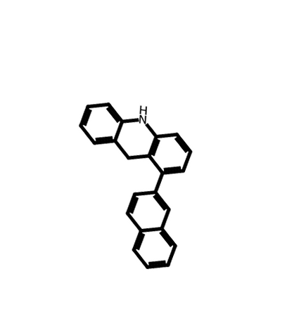 c1ccc2c(c1)Cc1c(cccc1-c1ccc3ccccc3c1)N2